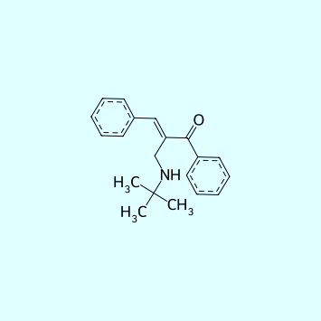 CC(C)(C)NC/C(=C\c1ccccc1)C(=O)c1ccccc1